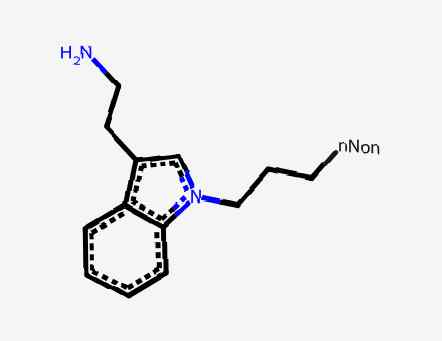 CCCCCCCCCCCCn1cc(CCN)c2ccccc21